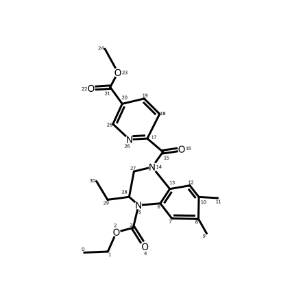 CCOC(=O)N1c2cc(C)c(C)cc2N(C(=O)c2ccc(C(=O)OC)cn2)CC1CC